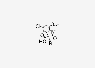 CC1CN2C(=O)C(C#N)(C(=O)O)c3cc(Cl)cc(c32)O1